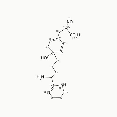 NC(CCCC1(O)C=CC(C[C@H](N=O)C(=O)O)=CC1)C1=NCCCN1